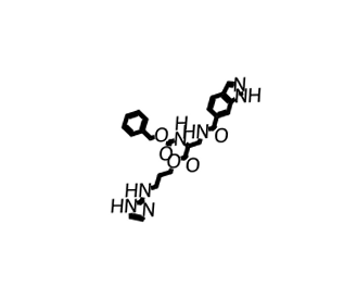 O=C(NC(CNC(=O)c1ccc2cn[nH]c2c1)C(=O)OCCCNc1ncc[nH]1)OCc1ccccc1